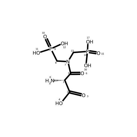 N[C@@H](C(=O)O)C(=O)N(CP(=O)(O)O)CP(=O)(O)O